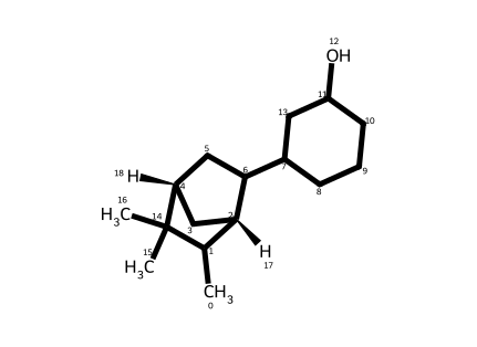 CC1[C@@H]2C[C@@H](CC2C2CCCC(O)C2)C1(C)C